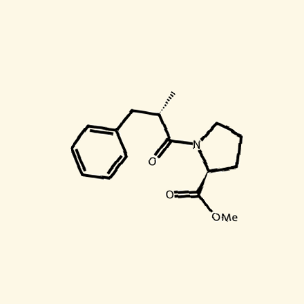 COC(=O)[C@@H]1CCCN1C(=O)[C@@H](C)Cc1ccccc1